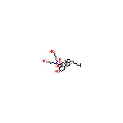 CC(C)CCC[C@@H](C)[C@H]1CC[C@H]2[C@@H]3CC(O)(CN(CCCCCO)CCCCCO)C4(O)CC(O)CC[C@]4(C)[C@H]3CC[C@]12C